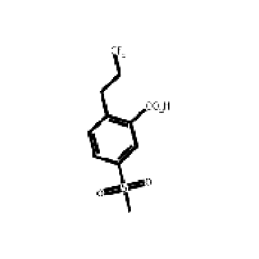 CS(=O)(=O)c1ccc(CCC(F)(F)F)c(C(=O)O)c1